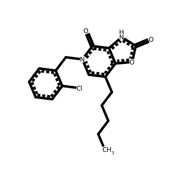 CCCCCc1cn(Cc2ccccc2Cl)c(=O)c2[nH]c(=O)oc12